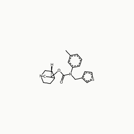 Cc1cccc(N(Cc2ccsc2)C(=O)O[C@H]2CN3CCC2CC3)c1